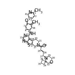 Cc1ccc(Oc2ccc(Nc3ncnc4sc5c(c34)CCN(C(=O)/C=C/CN3CCOCC34CCC4)C5)cc2C)cn1